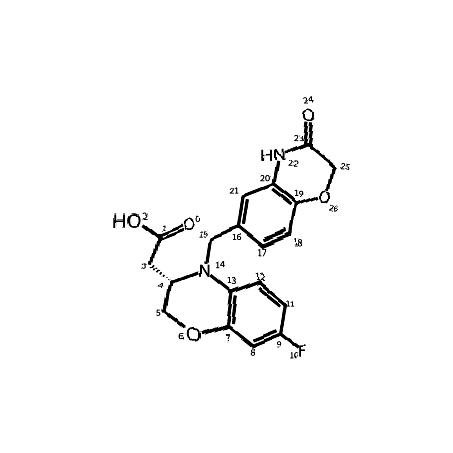 O=C(O)C[C@H]1COc2cc(F)ccc2N1Cc1ccc2c(c1)NC(=O)CO2